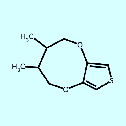 CC1COc2cscc2OCC1C